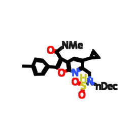 CCCCCCCCCCN(Cc1nc2oc(-c3ccc(C)cc3)c(C(=O)NC)c2cc1C1CC1)[SH](=O)=O